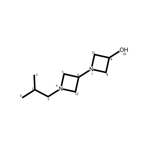 CC(C)CN1CC(N2CC(O)C2)C1